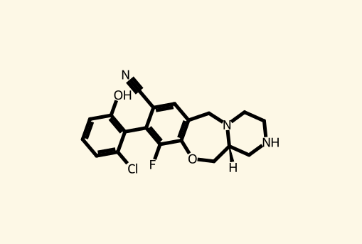 N#Cc1cc2c(c(F)c1-c1c(O)cccc1Cl)OC[C@H]1CNCCN1C2